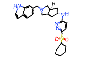 O=S(=O)(c1ccc(N[C@@H]2CC3CN(Cc4ccc5cc[nH]c5c4)C[C@H]3C2)nn1)C1CCCCC1